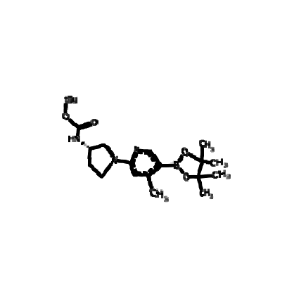 Cc1cc(N2CC[C@H](NC(=O)OC(C)(C)C)C2)ncc1B1OC(C)(C)C(C)(C)O1